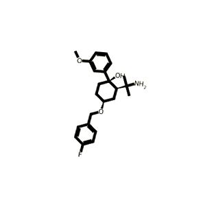 COc1cccc([C@@]2(O)CC[C@H](OCc3ccc(F)cc3)C[C@@H]2C(C)(C)N)c1